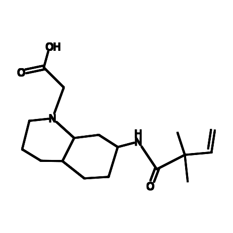 C=CC(C)(C)C(=O)NC1CCC2CCCN(CC(=O)O)C2C1